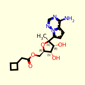 C[C@@]1(c2ccc3c(N)ncnn23)O[C@H](COC(=O)CC2CCC2)[C@@H](O)[C@H]1O